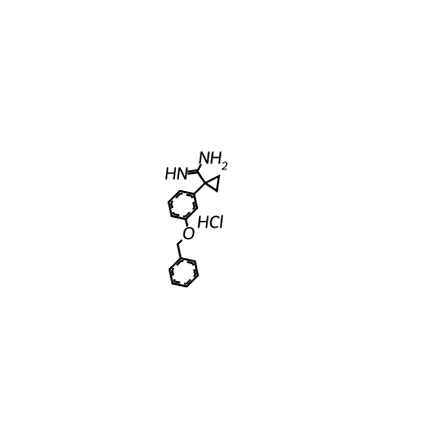 Cl.N=C(N)C1(c2cccc(OCc3ccccc3)c2)CC1